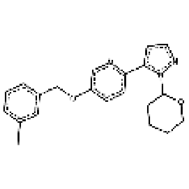 Ic1cccc(COc2ccc(-c3ccnn3C3CCCCO3)nc2)c1